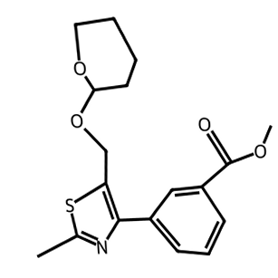 COC(=O)c1cccc(-c2nc(C)sc2COC2CCCCO2)c1